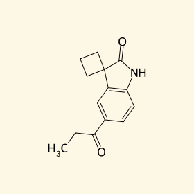 CCC(=O)c1ccc2c(c1)C1(CCC1)C(=O)N2